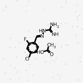 CC(=O)O.N=C(N)N/N=C/c1ccc(Cl)cc1F